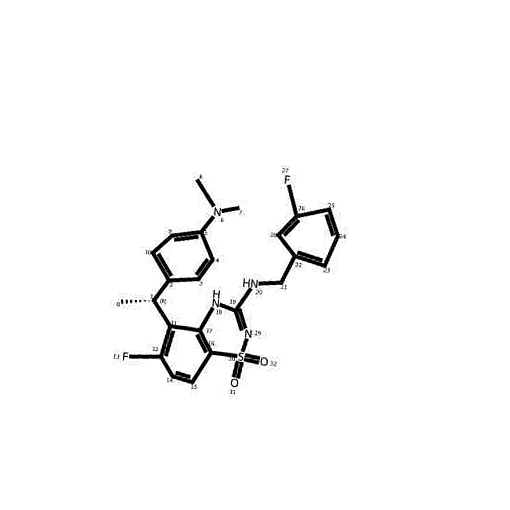 C[C@H](c1ccc(N(C)C)cc1)c1c(F)ccc2c1NC(NCc1cccc(F)c1)=NS2(=O)=O